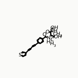 CC(C)(O)[C@H](NC(=O)c1ccc(C#CC#Cc2ccsc2)cc1)C(=O)NO